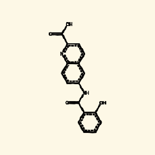 O=C(O)c1ccc2cc(NC(=O)c3ccccc3O)ccc2n1